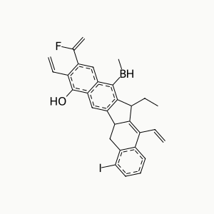 C=CC1=C2C(Cc3c(I)cccc31)c1cc3c(O)c(C=C)c(C(=C)F)cc3c(BC)c1C2CC